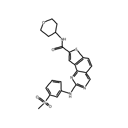 CS(=O)(=O)c1cccc(Nc2ncc3ccc4sc(C(=O)NC5CCOCC5)cc4c3n2)c1